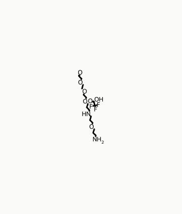 NCCCOCCCNCCCOCCOCCOCC=O.O=C(O)C(F)(F)F